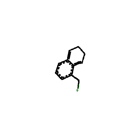 FCc1cccc2c1=CCCC=2